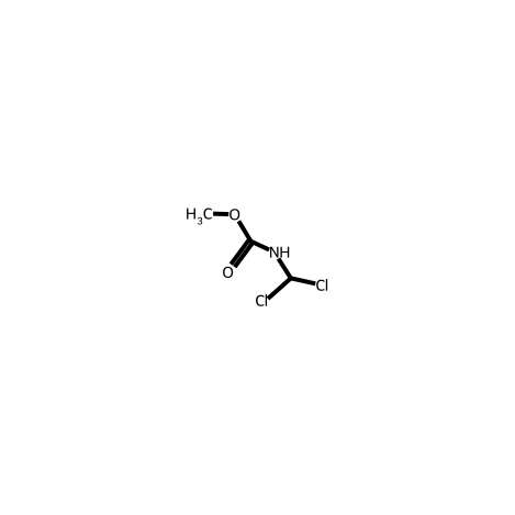 COC(=O)NC(Cl)Cl